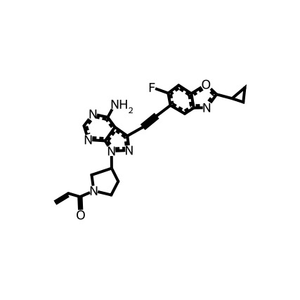 C=CC(=O)N1CCC(n2nc(C#Cc3cc4nc(C5CC5)oc4cc3F)c3c(N)ncnc32)C1